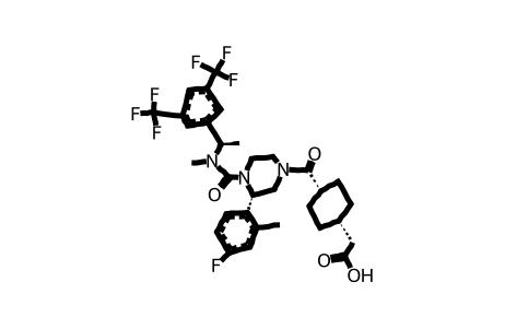 Cc1cc(F)ccc1[C@H]1CN(C(=O)[C@H]2CC[C@@H](CC(=O)O)CC2)CCN1C(=O)N(C)[C@H](C)c1cc(C(F)(F)F)cc(C(F)(F)F)c1